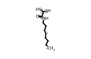 CCCCCCCCNC(=O)C(S)S